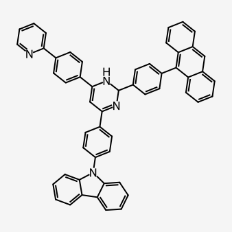 C1=C(c2ccc(-c3ccccn3)cc2)NC(c2ccc(-c3c4ccccc4cc4ccccc34)cc2)N=C1c1ccc(-n2c3ccccc3c3ccccc32)cc1